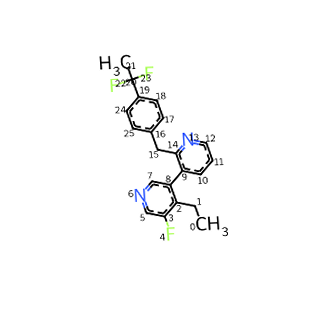 CCc1c(F)cncc1-c1cccnc1Cc1ccc(C(C)(F)F)cc1